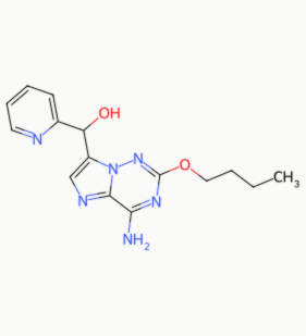 CCCCOc1nc(N)c2ncc(C(O)c3ccccn3)n2n1